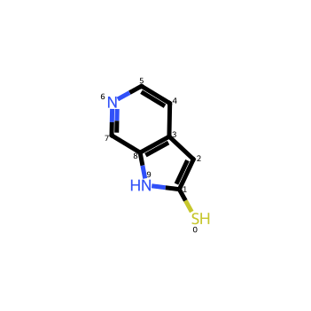 Sc1cc2ccncc2[nH]1